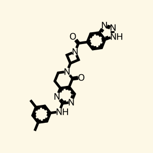 Cc1cc(C)cc(Nc2ncc3c(n2)CCN(C2CN(C(=O)c4ccc5[nH]nnc5c4)C2)C3=O)c1